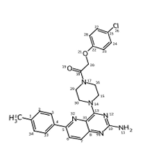 Cc1ccc(-c2ccc3nc(N)nc(N4CCN(C(=O)COc5ccc(Cl)cc5)CC4)c3n2)cc1